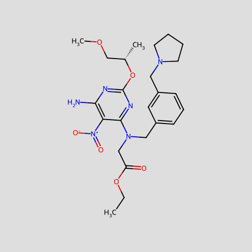 CCOC(=O)CN(Cc1cccc(CN2CCCC2)c1)c1nc(O[C@@H](C)COC)nc(N)c1[N+](=O)[O-]